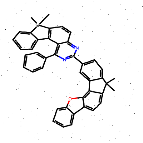 CC1(C)c2ccc(-c3nc(-c4ccccc4)c4c5c(ccc4n3)[Si](C)(C)c3ccccc3-5)cc2-c2c1ccc1c2oc2ccccc21